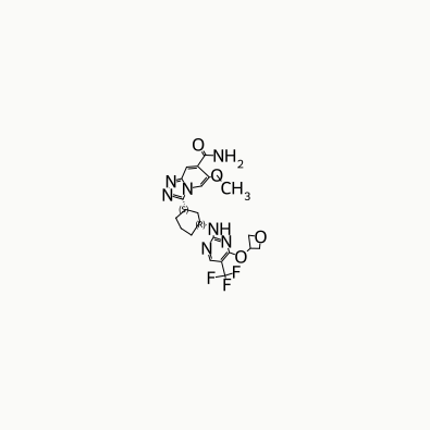 COc1cn2c([C@H]3CCC[C@@H](Nc4ncc(C(F)(F)F)c(OC5COC5)n4)C3)nnc2cc1C(N)=O